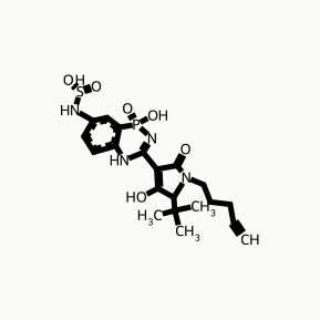 C#CCCCN1C(=O)C(C2=NP(=O)(O)c3cc(N[SH](=O)=O)ccc3N2)=C(O)C1C(C)(C)C